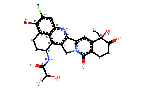 CC[C@@]1(O)C(=O)CCc2c1cc1n(c2=O)Cc2c-1nc1cc(F)c(Br)c3c1c2[C@@H](NC(=O)C(O)C(F)(F)F)CC3